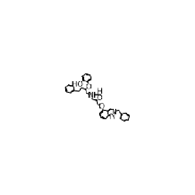 Oc1ccccc1OC(CCc1ccccc1)CNCC(O)COc1cccc2nn(Cc3ccccc3)cc12